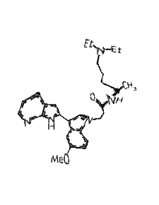 CCN(CC)CCCC(C)NC(=O)Cn1cc(-c2cc3cccnc3[nH]2)c2cc(OC)ccc21